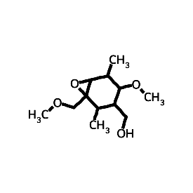 COCC12OC1C(C)C(OC)C(CO)C2C